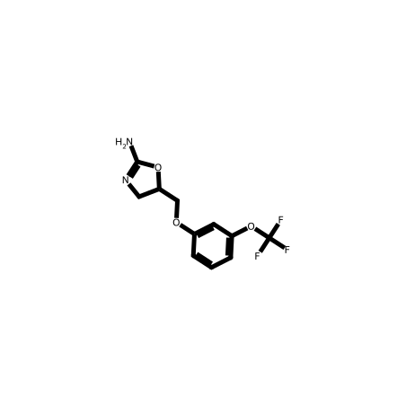 NC1=NCC(COc2cccc(OC(F)(F)F)c2)O1